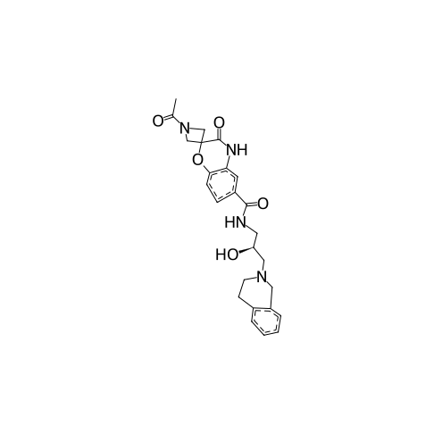 CC(=O)N1CC2(C1)Oc1ccc(C(=O)NC[C@H](O)CN3CCc4ccccc4C3)cc1NC2=O